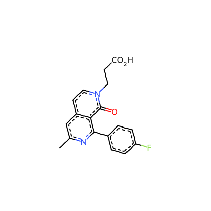 Cc1cc2ccn(CCC(=O)O)c(=O)c2c(-c2ccc(F)cc2)n1